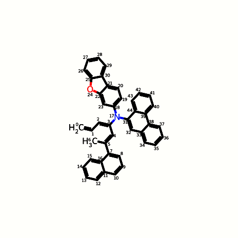 C=C/C=C(\C=C(/C)c1cccc2ccccc12)N(c1ccc2c(c1)oc1ccccc12)c1cc2ccccc2c2ccccc12